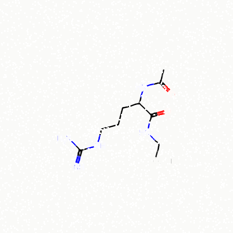 CCC(=O)NC(CCCNC(=N)N)C(=O)NCC(=O)O